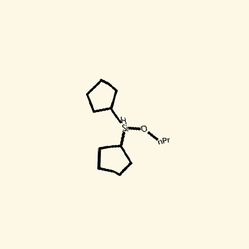 CCCO[SiH](C1CCCC1)C1CCCC1